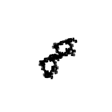 Cn1c2ccc1cc1nc(cc3c(N=Nc4cc5cc6nc(cc7ccc(cc8nc(cc4n5C)C=C8)n7C)C=C6)cc(cc4nc(c2)C=C4)n3C)C=C1